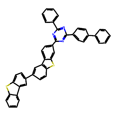 c1ccc(-c2ccc(-c3nc(-c4ccccc4)nc(-c4ccc5c(c4)sc4ccc(-c6ccc7sc8ccccc8c7c6)cc45)n3)cc2)cc1